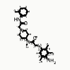 Cc1ccccc1NC(=O)CN1CCC(N(C)C(=O)COc2cc(C)c(N)c(C)c2C)CC1